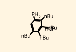 CCCCc1cc(P)c(CCCC)c(CCCC)c1CCCC.Cl